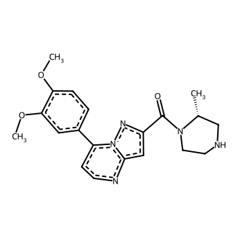 COc1ccc(-c2ccnc3cc(C(=O)N4CCNC[C@H]4C)nn23)cc1OC